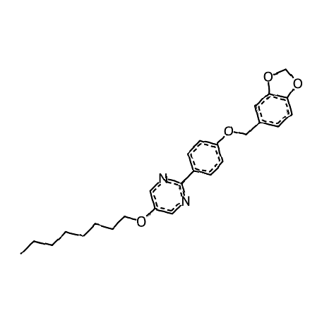 CCCCCCCCOc1cnc(-c2ccc(OCc3ccc4c(c3)OCO4)cc2)nc1